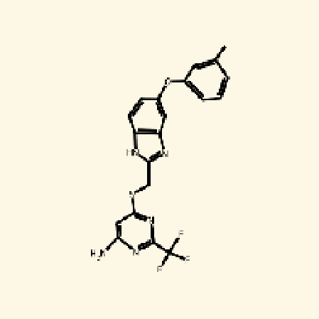 Cc1cccc(Oc2ccc3[nH]c(CSc4cc(N)nc(C(F)(F)F)n4)nc3c2)c1